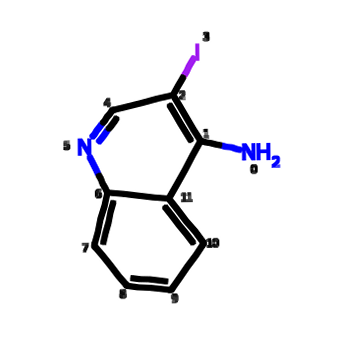 Nc1c(I)cnc2ccccc12